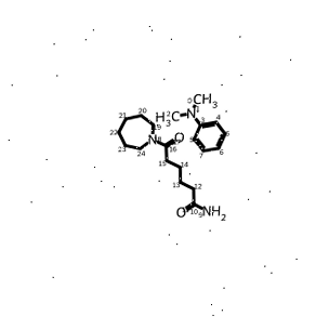 CN(C)c1ccccc1.NC(=O)CCCCC(=O)N1CCCCCC1